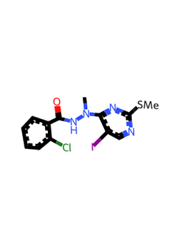 CSc1ncc(I)c(N(C)NC(=O)c2ccccc2Cl)n1